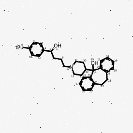 CC(C)(C)c1ccc(C(O)CCCN2CCC(C3(O)c4ccccc4CCc4ccccc43)CC2)cc1